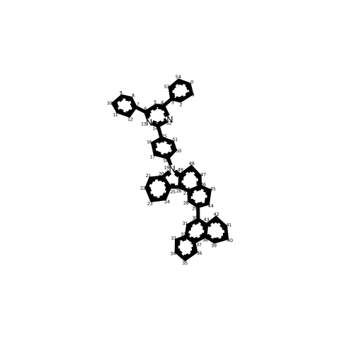 c1ccc(-c2cc(-c3ccccc3)nc(-c3ccc(-n4c5ccccc5c5c6cc(-c7cc8ccccc8c8ccccc78)ccc6ccc54)cc3)n2)cc1